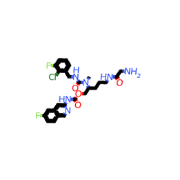 CN(C(=O)NCc1cccc(F)c1Cl)C(CCCNC(=O)CN)COC(=O)Nc1cc2cc(F)ccc2cn1